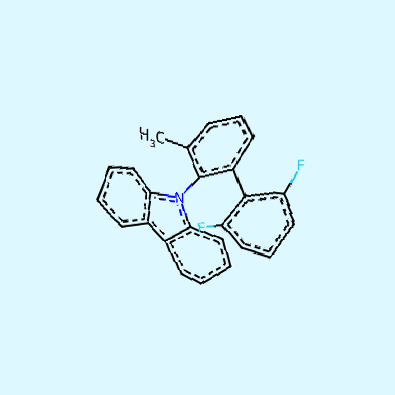 Cc1cccc(-c2c(F)cccc2F)c1-n1c2ccccc2c2ccccc21